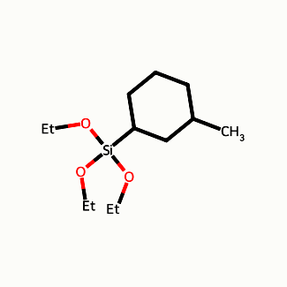 CCO[Si](OCC)(OCC)C1CCCC(C)C1